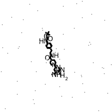 CNc1cc(N2CCC(C(=O)NCCc3ccc(NC(=O)OC(C)(C)C)cc3)CC2)nc(N)n1